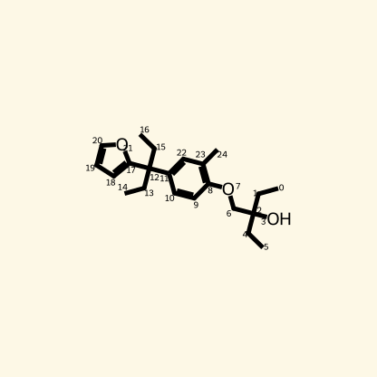 CCC(O)(CC)COc1ccc(C(CC)(CC)c2ccco2)cc1C